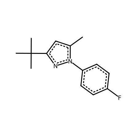 Cc1cc(C(C)(C)C)nn1-c1ccc(F)cc1